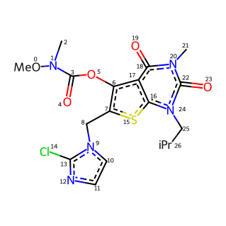 CON(C)C(=O)Oc1c(Cn2ccnc2Cl)sc2c1c(=O)n(C)c(=O)n2CC(C)C